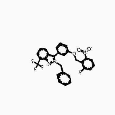 O=[N+]([O-])c1cccc(F)c1COc1cccc(-c2c3cccc(C(F)(F)F)c3nn2Cc2ccccc2)c1